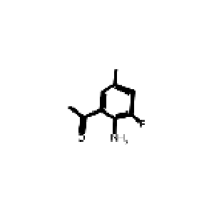 CC(=O)c1cc(C)cc(F)c1N